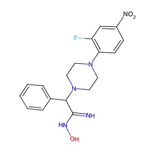 N=C(NO)C(c1ccccc1)N1CCN(c2ccc([N+](=O)[O-])cc2F)CC1